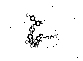 COC(=O)c1ccc(N2CCN(CC3=C(c4ccc(Cl)cc4)CC(C)(C)CC3)CC2)cc1N1c2cc3ccn(CCOCC[Si](C)(C)C)c3nc2O[C@H]2COC[C@@H]21